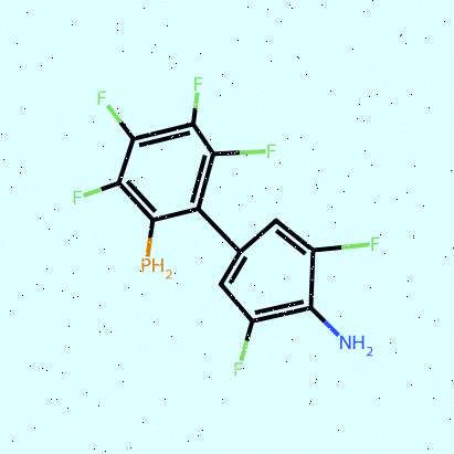 Nc1c(F)cc(-c2c(F)c(F)c(F)c(F)c2P)cc1F